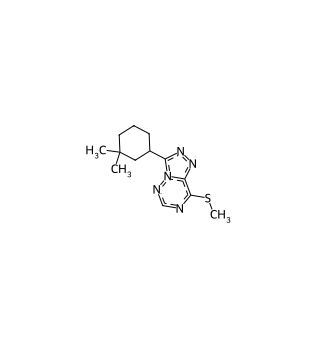 CSc1ncnn2c(C3CCCC(C)(C)C3)nnc12